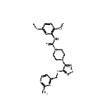 COc1ccc(OC)c(NC(=O)N2CCN(c3nsnc3OCc3ccnc(N)n3)CC2)c1